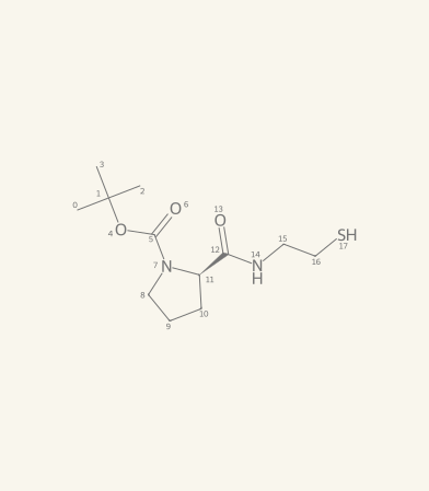 CC(C)(C)OC(=O)N1CCC[C@@H]1C(=O)NCCS